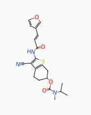 CC(C)N(C)C(=O)OC1CCc2c(sc(NC(=O)C=Cc3ccoc3)c2C#N)C1